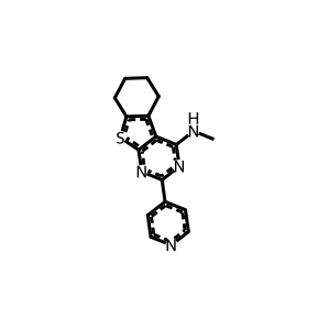 CNc1nc(-c2ccncc2)nc2sc3c(c12)CCCC3